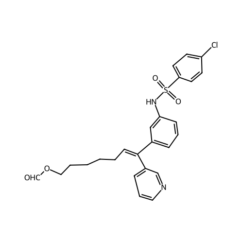 O=COCCCCC/C=C(\c1cccnc1)c1cccc(NS(=O)(=O)c2ccc(Cl)cc2)c1